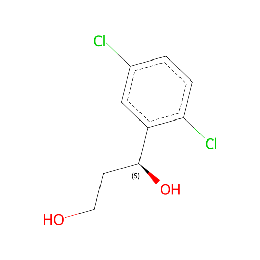 OCC[C@H](O)c1cc(Cl)ccc1Cl